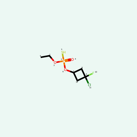 CCOP(=O)(S)OC1CC(F)(Cl)C1